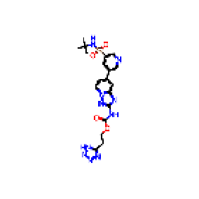 CC(C)(C)NS(=O)(=O)c1cncc(-c2ccn3nc(NC(=O)OCCc4nnn[nH]4)nc3c2)c1